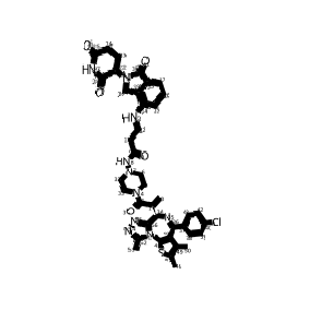 C=C(C(=O)N1CCN(NC(=O)CCNc2cccc3c2CN(C2CCC(=O)NC2=O)C3=O)CC1)[C@@H]1N=C(c2ccc(Cl)cc2)c2c(sc(C)c2C)-n2c(C)nnc21